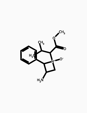 COC(=O)C(C(C)C)[N+]1([O-])CC(N)C1c1ccccc1